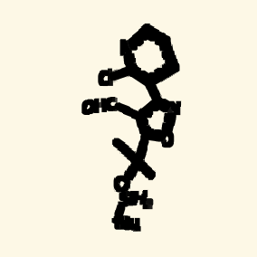 CC(C)(C)[SiH2]OC(C)(C)c1onc(-c2cccnc2Cl)c1C=O